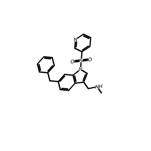 CNCc1cn(S(=O)(=O)c2cccnc2)c2cc(Cc3ccccc3)ccc12